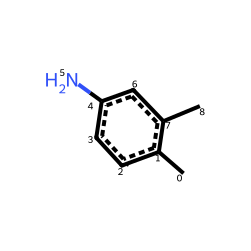 Cc1[c]cc(N)cc1C